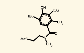 CNCCN(C)C(=O)c1cc(C(C)(C)C)c(O)c(C(C)(C)C)c1C